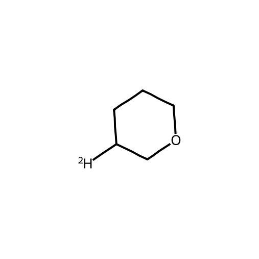 [2H]C1CCCOC1